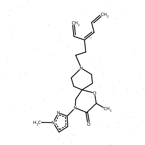 C=C/C=C(\C=C)CCN1CCC2(CC1)CN(c1ccn(C)n1)C(=O)C(C)O2